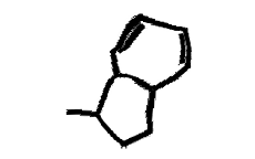 CC1[C]CC2C=CC=CC12